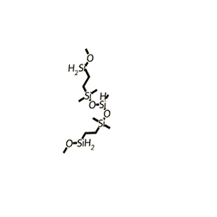 CO[SiH2]CC[Si](C)(C)O[SiH](C)O[Si](C)(C)CC[SiH2]OC